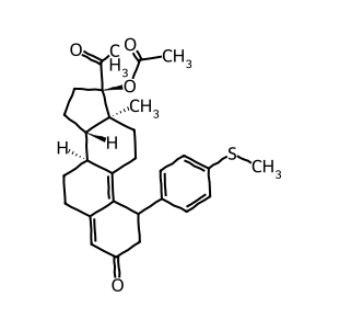 CSc1ccc(C2CC(=O)C=C3CC[C@@H]4C(=C32)CC[C@@]2(C)[C@H]4CC[C@]2(OC(C)=O)C(C)=O)cc1